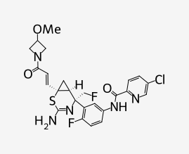 COC1CN(C(=O)C=C[C@]23C[C@H]2[C@@](CF)(c2cc(NC(=O)c4ccc(Cl)cn4)ccc2F)N=C(N)S3)C1